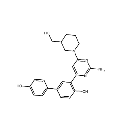 Nc1nc(-c2cc(-c3ccc(O)cc3)ccc2O)cc(N2CCCC(CO)C2)n1